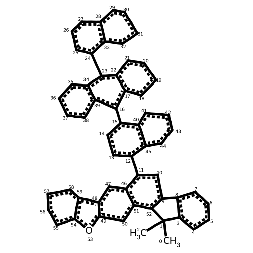 CC1(C)c2ccccc2-c2cc(-c3ccc(-c4c5ccccc5c(-c5cccc6ccccc56)c5ccccc45)c4ccccc34)c3cc4c(cc3c21)oc1ccccc14